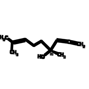 C=C=C[C@](C)(O)CCC=C(C)C